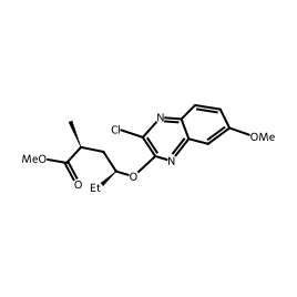 CC[C@@H](C[C@H](C)C(=O)OC)Oc1nc2cc(OC)ccc2nc1Cl